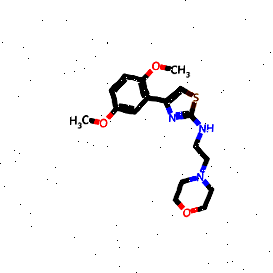 COc1ccc(OC)c(-c2csc(NCCN3CCOCC3)n2)c1